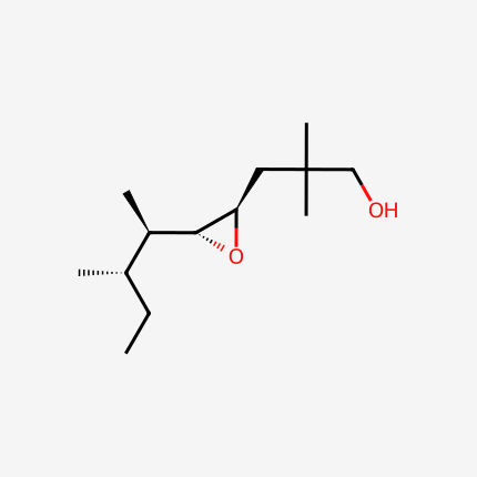 CC[C@H](C)[C@@H](C)[C@H]1O[C@@H]1CC(C)(C)CO